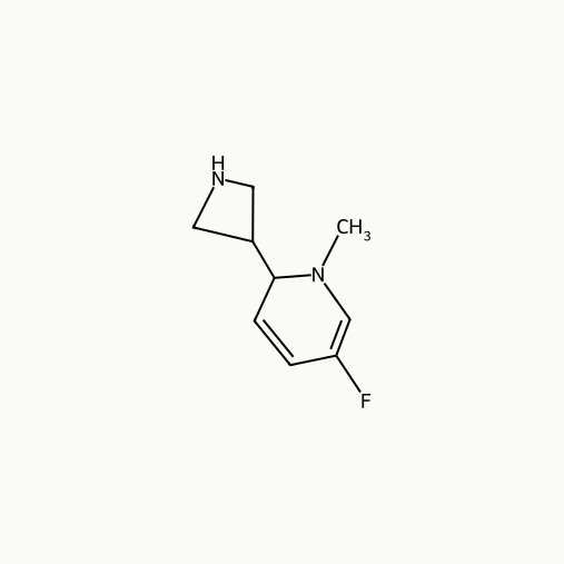 CN1C=C(F)C=CC1C1CNC1